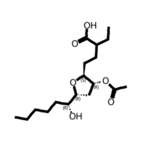 CCCCC[C@@H](O)[C@H]1C[C@@H](OC(C)=O)[C@H](CCC(CC)C(=O)O)O1